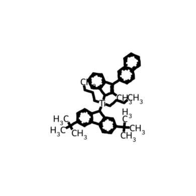 CCC[CH2][Ti]([CH2]CCC)([CH]1C(C)=C(c2ccc3ccccc3c2)c2ccccc21)[CH]1c2ccc(C(C)(C)C)cc2-c2ccc(C(C)(C)C)cc21